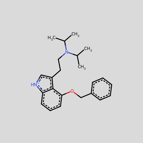 CC(C)N(CCc1c[nH]c2cccc(OCc3ccccc3)c12)C(C)C